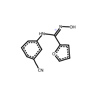 N#Cc1cccc(N/C(=N/O)c2ccco2)c1